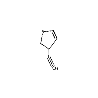 C#CC1C=CSC1